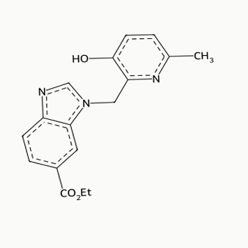 CCOC(=O)c1ccc2ncn(Cc3nc(C)ccc3O)c2c1